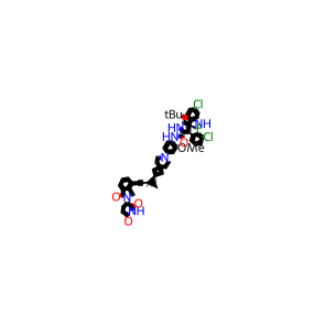 COc1cc(N2CCC3(CC2)CC([C@H]2C[C@H]2C#Cc2cccc4c2CN(C2CCC(=O)NC2=O)C4=O)C3)ccc1NC(=O)[C@@H]1N[C@@H](CC(C)(C)C)[C@@]2(CNc3cc(Cl)ccc32)[C@H]1c1cccc(Cl)c1F